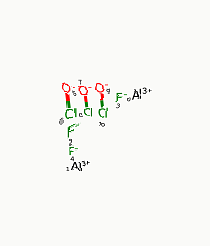 [Al+3].[Al+3].[F-].[F-].[F-].[O-]Cl.[O-]Cl.[O-]Cl